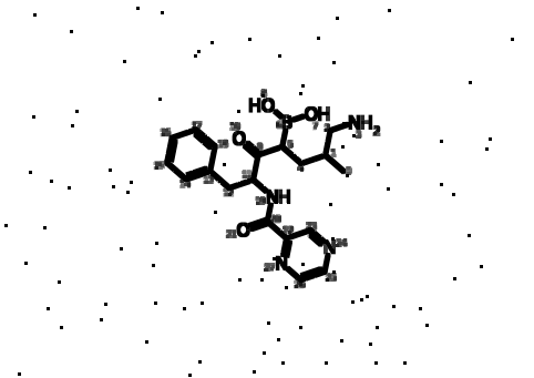 CC(CN)CC(B(O)O)C(=O)C(Cc1ccccc1)NC(=O)c1cnccn1